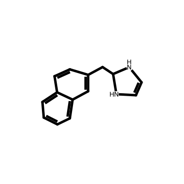 C1=CNC(Cc2ccc3ccccc3c2)N1